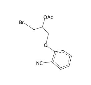 CC(=O)OC(CBr)COc1ccccc1C#N